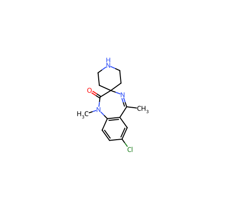 CC1=NC2(CCNCC2)C(=O)N(C)c2ccc(Cl)cc21